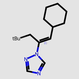 CC(C)(C)C/C(=C\C1CCCCC1)n1cncn1